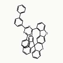 c1ccc(-c2cccc(-c3nc(-c4ccccc4)nc(-c4cccc5oc6cc7c(cc6c45)C4(c5ccccc5S7)c5ccccc5-c5ccccc54)n3)c2)cc1